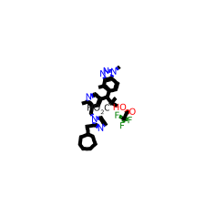 Cc1ncc(C(c2ccc3c(nnn3C)c2C)C(C)(C)C(=O)O)cc1Cn1ccnc1CC1CCCCCC1.O=C(O)C(F)(F)F